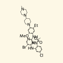 CCc1cc(Nc2ncc(Br)c(Nc3cc(Cl)ccc3NS(C)(=O)=O)n2)c(OC)cc1N1CCC(N2CCN(C)CC2)CC1